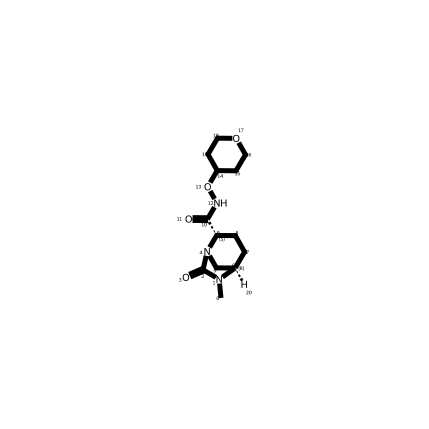 CN1C(=O)N2C[C@H]1CC[C@H]2C(=O)NOC1CCOCC1